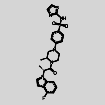 C[C@H](C(=O)N1CCN(c2ccc(S(=O)(=O)Nc3nccs3)cc2)C[C@@H]1C)n1ccc2c(F)cccc21